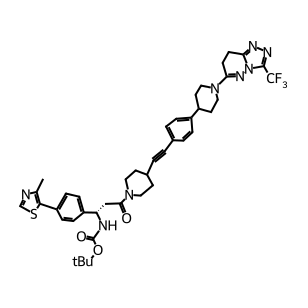 Cc1ncsc1-c1ccc([C@H](CC(=O)N2CCC(C#Cc3ccc(C4CCN(C5=Nn6c(nnc6C(F)(F)F)CC5)CC4)cc3)CC2)NC(=O)OC(C)(C)C)cc1